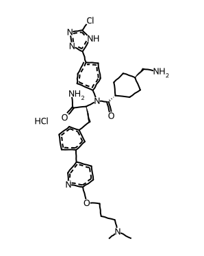 CN(C)CCCOc1ccc(-c2cccc(C[C@@H](C(N)=O)N(c3ccc(-c4nnc(Cl)[nH]4)cc3)C(=O)[C@H]3CC[C@H](CN)CC3)c2)cn1.Cl